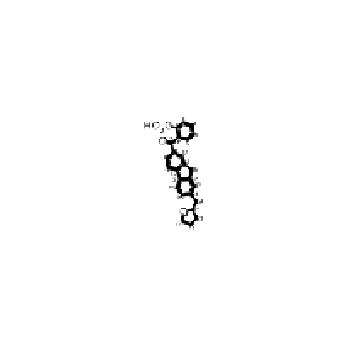 O=C(O)c1ccccc1C(=O)c1ccc2c(c1)Cc1cc(CC3CCCO3)ccc1-2